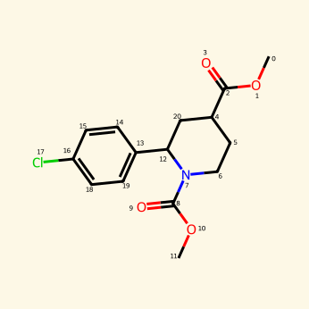 COC(=O)C1CCN(C(=O)OC)C(c2ccc(Cl)cc2)C1